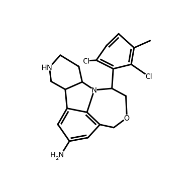 Cc1ccc(Cl)c(C2COCc3cc(N)cc4c3N2C2CCNCC42)c1Cl